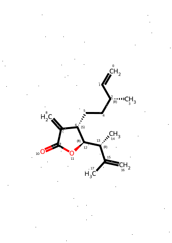 C=C[C@H](C)CC[C@H]1C(=C)C(=O)O[C@@H]1[C@H](C)C(=C)C